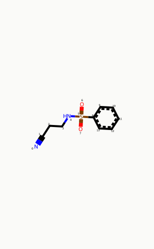 N#CCCNS(=O)(=O)c1ccccc1